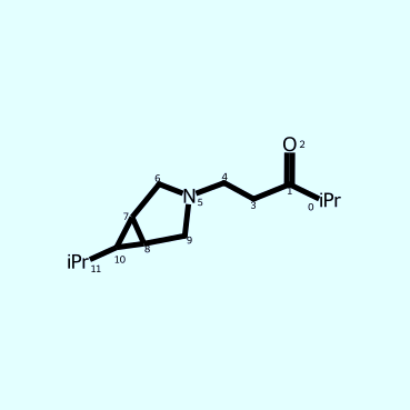 CC(C)C(=O)CCN1CC2C(C1)C2C(C)C